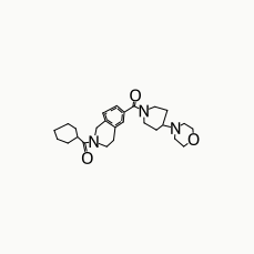 O=C(c1ccc2c(c1)CCN(C(=O)C1CCCCC1)C2)N1CCC(N2CCOCC2)CC1